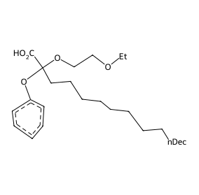 CCCCCCCCCCCCCCCCCCC(OCCOCC)(Oc1ccccc1)C(=O)O